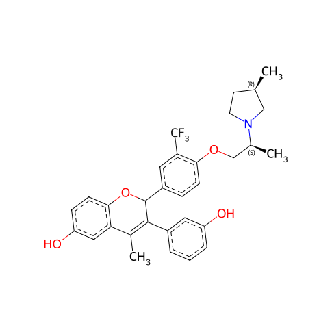 CC1=C(c2cccc(O)c2)C(c2ccc(OC[C@H](C)N3CC[C@@H](C)C3)c(C(F)(F)F)c2)Oc2ccc(O)cc21